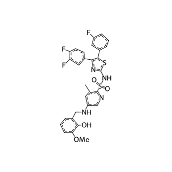 COc1cccc(CNc2cnc(S(=O)(=O)Nc3nc(-c4ccc(F)c(F)c4)c(-c4cccc(F)c4)s3)c(C)c2)c1O